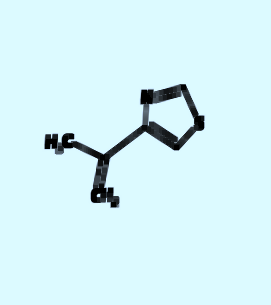 C=C(C)c1cscn1